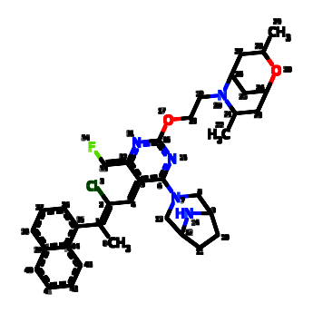 C\C(=C(Cl)/C=c1/c(N2CC3CCC(C2)N3)nc(OCCN2C(C)CC3CC2CC(C)O3)n/c1=C\F)c1cccc2ccccc12